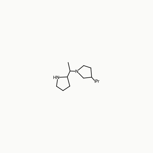 CC(C)C1CCN(C(C)C2CCCN2)C1